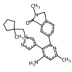 Cc1cc(N)c(-c2cnn(CC3(C)CCCC3)c2)c(-c2ccc3c(c2)C(=O)N(C)C3)n1